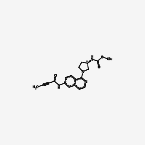 CC#CC(=O)Nc1ccc2c(N3CC[C@@H](NC(=O)OC(C)(C)C)C3)nccc2c1